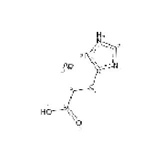 O=C(O)CSc1nc[nH]n1.[Ag]